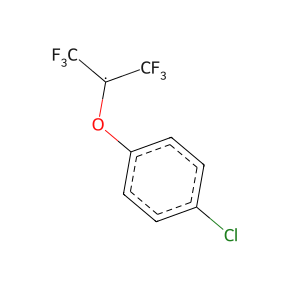 FC(F)(F)[C](Oc1ccc(Cl)cc1)C(F)(F)F